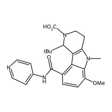 COc1ccc(C(=O)Nc2ccncc2)c2c3c(n(C)c12)CCN(C(=O)O)C3C(C)(C)C